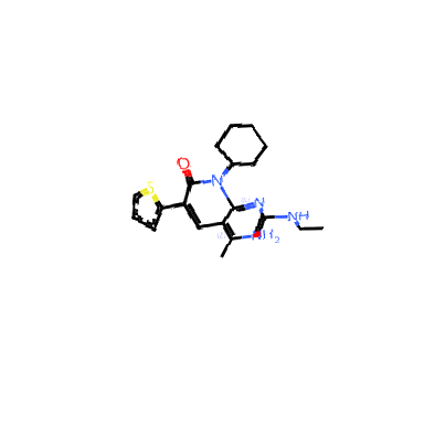 C=C(/N=C1\C(=C(\C)N)C=C(c2cccs2)C(=O)N1C1CCCCC1)NCC